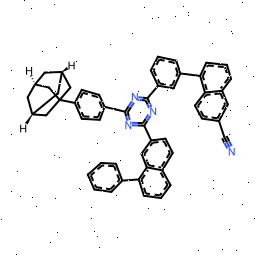 N#Cc1ccc2c(-c3cccc(-c4nc(-c5ccc(C67C[C@H]8C[C@@H](C6)C[C@@H](C7)C8)cc5)nc(-c5ccc6cccc(-c7ccccc7)c6c5)n4)c3)cccc2c1